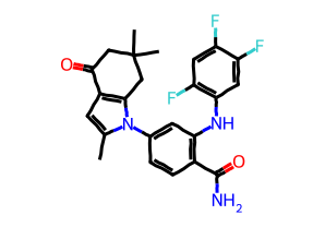 Cc1cc2c(n1-c1ccc(C(N)=O)c(Nc3cc(F)c(F)cc3F)c1)CC(C)(C)CC2=O